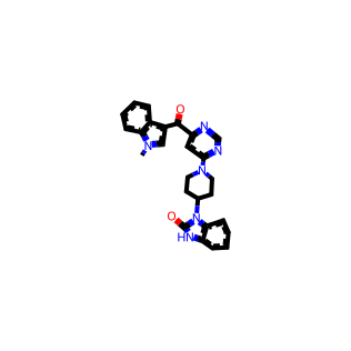 Cn1cc(C(=O)c2cc(N3CCC(n4c(=O)[nH]c5ccccc54)CC3)ncn2)c2ccccc21